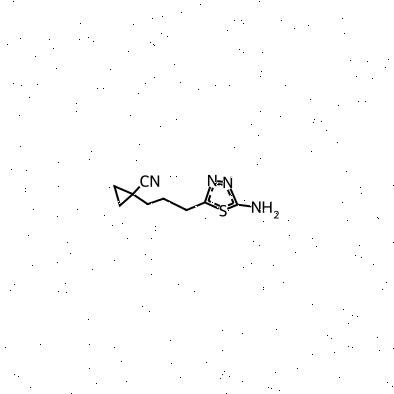 N#CC1(CCCc2nnc(N)s2)CC1